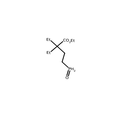 CCOC(=O)C(CC)(CC)CC[PH2]=O